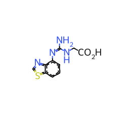 NC(=Nc1cccc2scnc12)NCC(=O)O